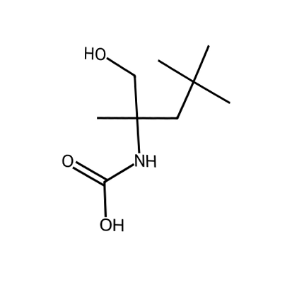 CC(C)(C)CC(C)(CO)NC(=O)O